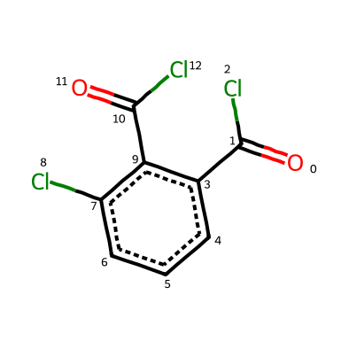 O=C(Cl)c1cccc(Cl)c1C(=O)Cl